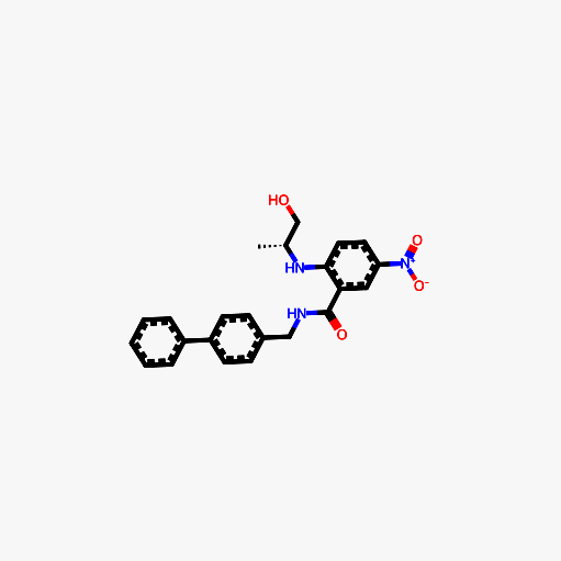 C[C@H](CO)Nc1ccc([N+](=O)[O-])cc1C(=O)NCc1ccc(-c2ccccc2)cc1